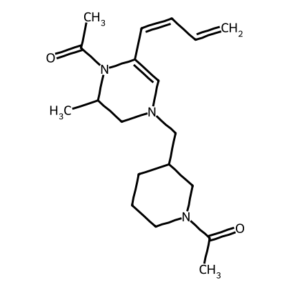 C=C/C=C\C1=CN(CC2CCCN(C(C)=O)C2)CC(C)N1C(C)=O